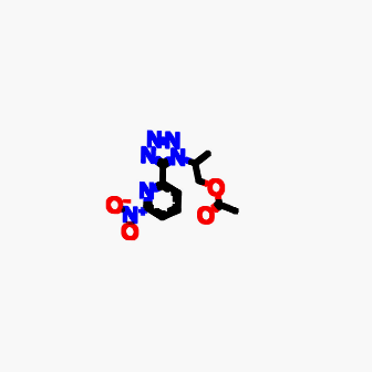 CC(=O)OCC(C)n1nnnc1-c1cccc([N+](=O)[O-])n1